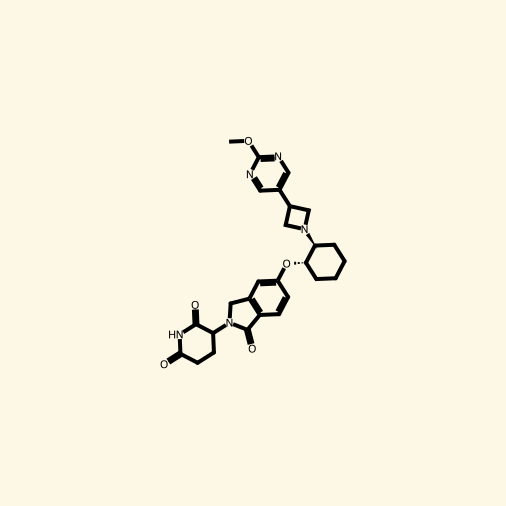 COc1ncc(C2CN([C@H]3CCCC[C@@H]3Oc3ccc4c(c3)CN(C3CCC(=O)NC3=O)C4=O)C2)cn1